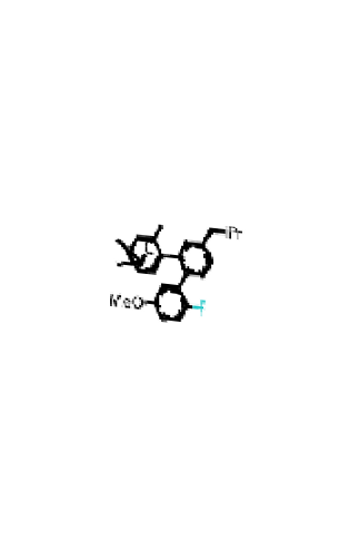 COc1ccc(F)c(-c2ccc(CC(C)C)cc2C2=CC3CCC2(C)CC3(C)C)c1